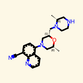 C[C@@H]1CN(c2ccc(C#N)c3ncccc23)C[C@H](CN2CCNC[C@H]2C)O1